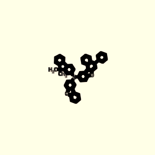 CC1(C)c2ccccc2-c2ccc(N(c3ccc4oc5ccccc5c4c3)c3ccc4oc5cc(-c6ccccc6)c6ccccc6c5c4c3)cc21